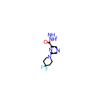 NNC(=O)c1cncc(N2CCC(F)(F)CC2)n1